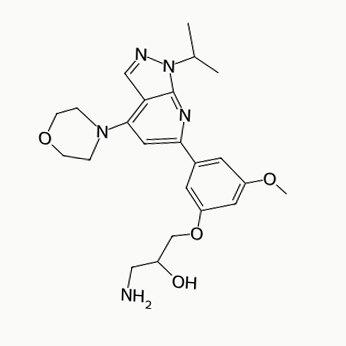 COc1cc(OCC(O)CN)cc(-c2cc(N3CCOCC3)c3cnn(C(C)C)c3n2)c1